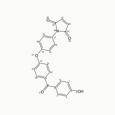 O=C(c1ccc(O)cc1)c1ccc(Oc2ccc(N3C(=O)C=CC3=O)cc2)cc1